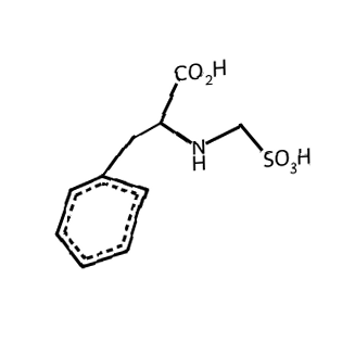 O=C(O)C(Cc1ccccc1)NCS(=O)(=O)O